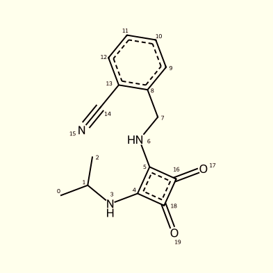 CC(C)Nc1c(NCc2ccccc2C#N)c(=O)c1=O